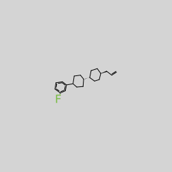 C=CC[C@H]1CC[C@H](C2CCC(c3cccc(F)c3)CC2)CC1